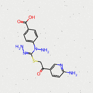 N/N=C(/SCC(=O)c1ccc(N)nc1)N(N)c1ccc(C(=O)O)cc1